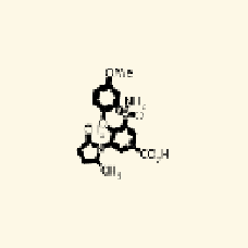 COc1ccc(Oc2c(N3C(C)CCC3C)cc(C(=O)O)cc2S(N)(=O)=O)cc1